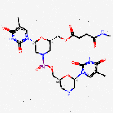 CNC(=O)CCC(=O)OC[C@@H]1CN([PH](=O)OC[C@@H]2CNC[C@H](n3cc(C)c(=O)[nH]c3=O)O2)C[C@H](n2cc(C)c(=O)[nH]c2=O)O1